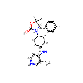 CC1(C)OC(=O)N(C2CCC(Nc3ccncc3[N+](=O)[O-])CC2)[C@H]1c1ccccc1